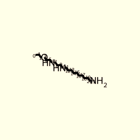 CCCOCCNCCCNCCCCCCCCCCN